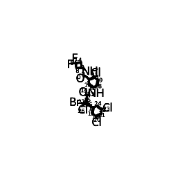 O=C(NC1CC(F)(F)C1)c1cc(NC(=O)C2C(c3cc(Cl)cc(Cl)c3)C2(Cl)Br)ccc1Cl